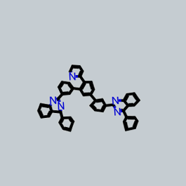 c1ccc(-c2nc(-c3cccc(-c4ccc(-c5ccccn5)c(-c5cccc(-c6nc(-c7ccccc7)c7ccccc7n6)c5)c4)c3)nc3ccccc23)cc1